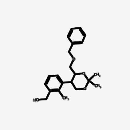 Cc1c(CO)cccc1C1COC(C)(C)OC1COCc1ccccc1